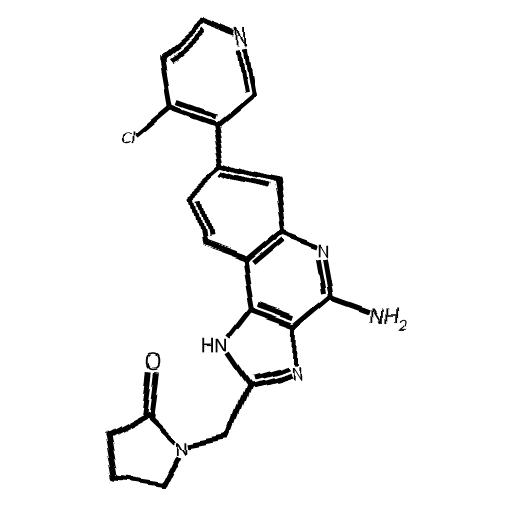 Nc1nc2cc(-c3cnccc3Cl)ccc2c2[nH]c(CN3CCCC3=O)nc12